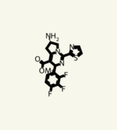 COC(=O)C1=C2C[C@H](N)CN2C(c2nccs2)=NC1c1ccc(F)c(F)c1F